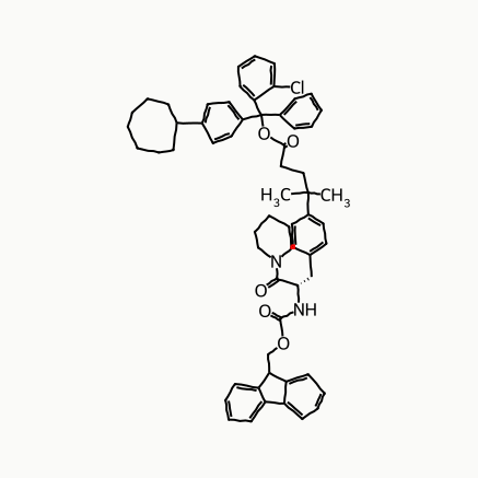 CC(C)(CCC(=O)OC(c1ccccc1)(c1ccc(C2CCCCCCC2)cc1)c1ccccc1Cl)c1ccc(C[C@H](NC(=O)OCC2c3ccccc3-c3ccccc32)C(=O)N2CCCCC2)cc1